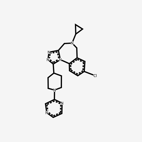 Clc1ccc2c(c1)CN(C1CC1)Cc1nnc(C3CCN(c4cnccn4)CC3)n1-2